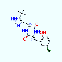 CC(C)(C)c1[nH]cnc1/C=c1\[nH]c(=O)/c(=C/c2cc(Br)ccc2O)[nH]c1=O